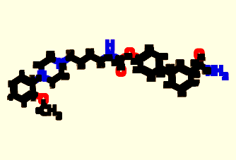 COc1ccccc1N1CCN(CCCCNC(=O)Oc2ccc(-c3cccc(C(N)=O)c3)cc2)CC1